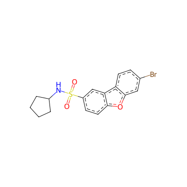 O=S(=O)(NC1CCCC1)c1ccc2oc3cc(Br)ccc3c2c1